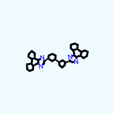 c1cc(-c2cccc(-c3cnc4c5ccccc5c5ccccc5c4n3)c2)cc(-c2cnc3c4ccccc4c4ccccc4c3n2)c1